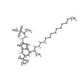 CCCCCCCCCCCCCCC(C)c1cc(S(=O)(=O)O)cc2[nH]c(CCC(C)S(=O)(=O)O)nc12